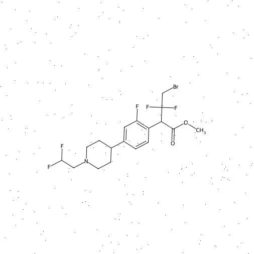 COC(=O)C(c1ccc(C2CCN(CC(F)F)CC2)cc1F)C(F)(F)CBr